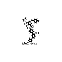 COc1ccc(-c2cnc(N)c(-c3ccc(NC(=O)c4cn(Cc5ccc(F)cc5)cc(C(=O)N5CCCC5)c4=O)cc3)c2)cc1OC